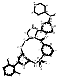 Cc1cccc(C)c1-c1cc2nc(n1)NS(=O)(=O)c1cccc(c1)C(=O)N(Cc1ccnc(N(C)C3CCOCC3)n1)[C@H](CC(C)(C)C)CO2